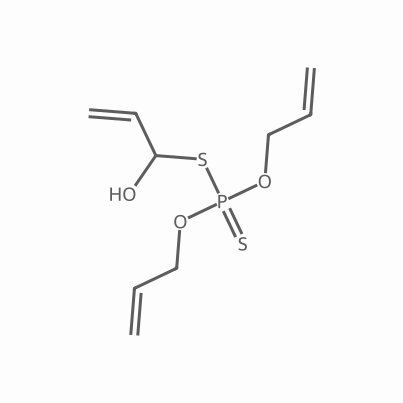 C=CCOP(=S)(OCC=C)SC(O)C=C